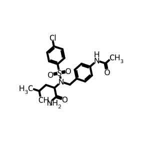 CC(=O)Nc1ccc(CN(C(CC(C)C)C(N)=O)S(=O)(=O)c2ccc(Cl)cc2)cc1